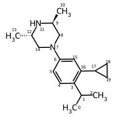 CC(C)c1ccc(N2C[C@H](C)N[C@@H](C)C2)cc1C1CC1